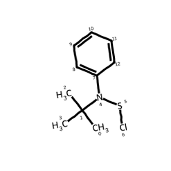 CC(C)(C)N(SCl)c1ccccc1